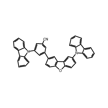 N#Cc1cc(-c2ccc3oc4ccc(-n5c6ccccc6c6ccccc65)cc4c3c2)cc(-n2c3ccccc3c3ccccc32)c1